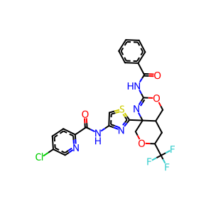 O=C(NC1=NC2(c3nc(NC(=O)c4ccc(Cl)cn4)cs3)COC(C(F)(F)F)CC2CO1)c1ccccc1